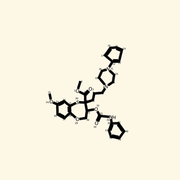 COC(=O)C1(CCCN2CCN(c3ccccc3)CC2)Sc2cc(OC)ccc2OCC1OC(=O)Nc1ccccc1